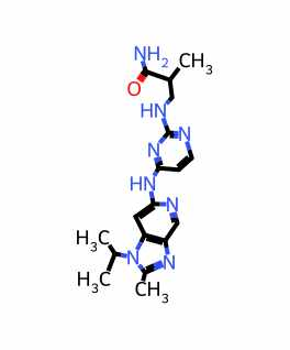 Cc1nc2cnc(Nc3ccnc(NCC(C)C(N)=O)n3)cc2n1C(C)C